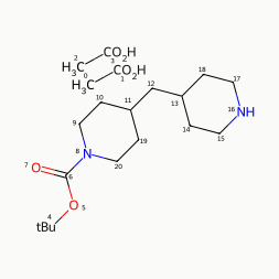 CC(=O)O.CC(=O)O.CC(C)(C)OC(=O)N1CCC(CC2CCNCC2)CC1